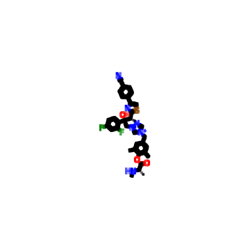 CN[C@@H](C)C(=O)Oc1c(C)cc(C[n+]2cnn(C[C@](O)(c3ccc(F)cc3F)[C@@H](C)c3nc(-c4ccc(C#N)cc4)cs3)c2)cc1C